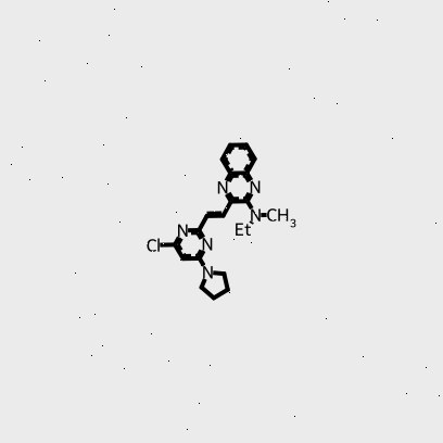 CCN(C)c1nc2ccccc2nc1/C=C/c1nc(Cl)cc(N2CCCC2)n1